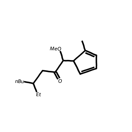 CCCCC(CC)CC(=O)C(OC)C1C=CC=C1C